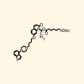 CCCCCCCCCCCCCCCC(=O)OC(C)n1c(=O)ccc2ccc(OCCCCN3CCN(c4cccc5sccc45)CC3)cc21